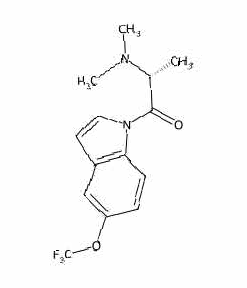 C[C@H](C(=O)n1ccc2cc(OC(F)(F)F)ccc21)N(C)C